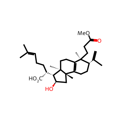 C=C(C)[C@@H]1CCC2=C(CC[C@]3(C)[C@@H]([C@@H](CCC=C(C)C)C(=O)O)[C@H](O)C[C@@]23C)[C@@]1(C)CCC(=O)OC